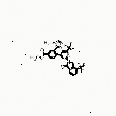 COC(=O)c1ccc(-c2cc(N3Cc4c(cccc4C(F)(F)F)C3=O)nc(C(F)(F)F)c2)c(-c2nncn2C)c1